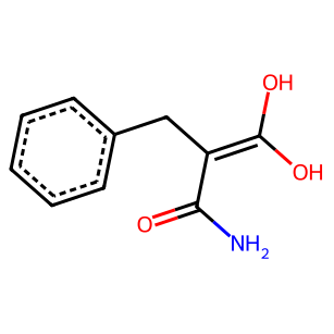 NC(=O)C(Cc1ccccc1)=C(O)O